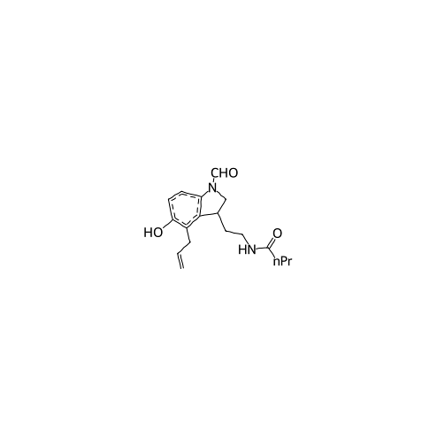 C=CCc1c(O)ccc2c1C(CCNC(=O)CCC)CN2C=O